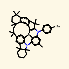 Cc1cc2c3c(c1)N1c4c5cc(cc4C4(C)CCCCC14C)C(C)(C)CC1(C)CCC(C)(C)c4cc6c(cc41)C(=C(N2c1ccc(C(C)(C)C)cc1)C6(C)C)B53